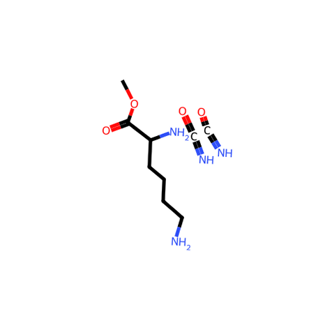 COC(=O)C(N)CCCCN.N=C=O.N=C=O